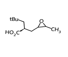 CC1OC1C[C@H](CC(C)(C)C)C(=O)O